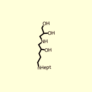 CCCCCCCCCCC(O)CNCC(O)CO